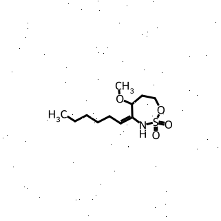 CCCCC/C=C1/NS(=O)(=O)OCCC1OC